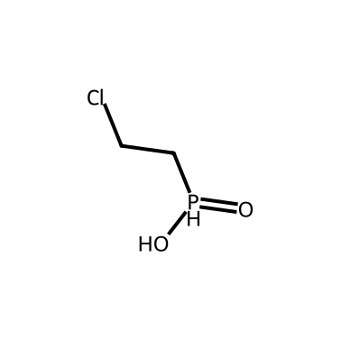 O=[PH](O)CCCl